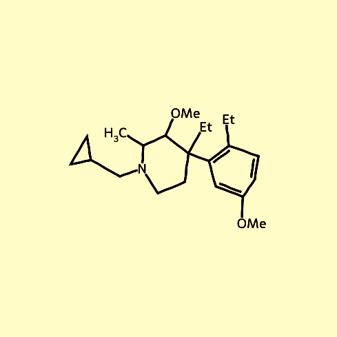 CCc1ccc(OC)cc1C1(CC)CCN(CC2CC2)C(C)C1OC